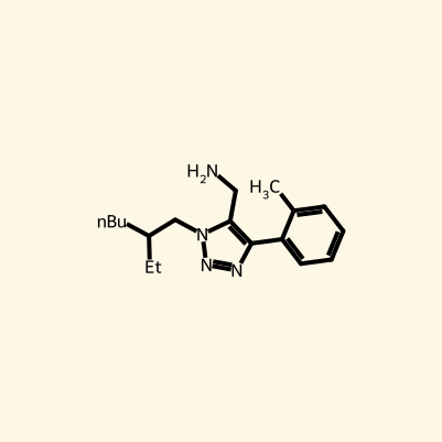 CCCCC(CC)Cn1nnc(-c2ccccc2C)c1CN